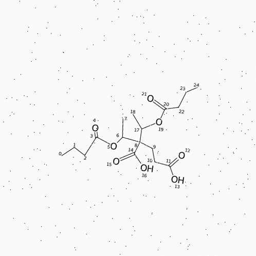 CCCC(=O)OC(C)C(CCC(=O)O)(C(=O)O)C(C)OC(=O)CCC